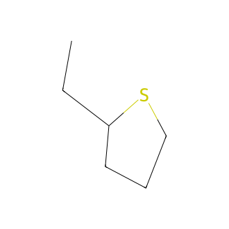 CCC1CCCS1